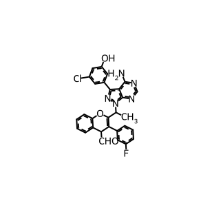 CC(C1=C(c2cccc(F)c2)C(C=O)c2ccccc2O1)n1nc(-c2cc(O)cc(Cl)c2)c2c(N)ncnc21